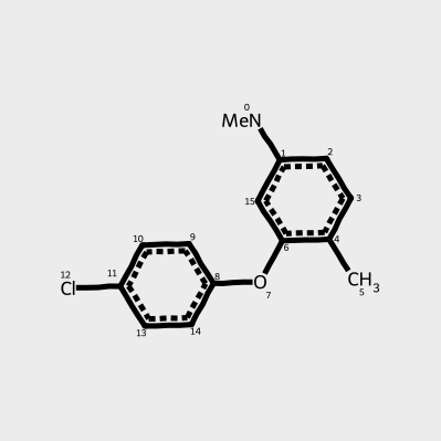 CNc1ccc(C)c(Oc2ccc(Cl)cc2)c1